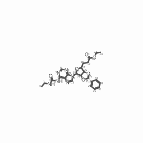 CCNC(=O)Nc1ncnc2c1ncn2C1OC(CCC(=O)OCC)C2O[C@H](c3ccccc3)OC21